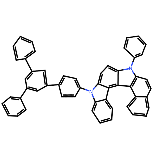 c1ccc(-c2cc(-c3ccccc3)cc(-c3ccc(-n4c5ccccc5c5c6c7c8ccccc8ccc7n(-c7ccccc7)c6ccc54)cc3)c2)cc1